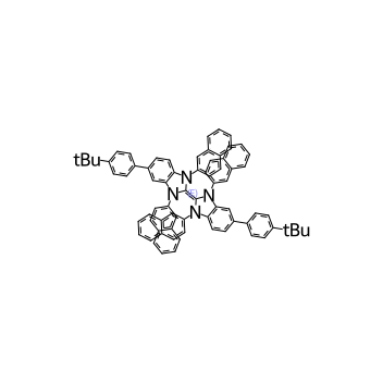 CC(C)(C)c1ccc(-c2ccc3c(c2)N(c2ccc4ccccc4c2)/C(=C2\N(c4ccc5ccccc5c4)c4ccc(-c5ccc(C(C)(C)C)cc5)cc4N2c2ccc4ccccc4c2)N3c2ccc3ccccc3c2)cc1